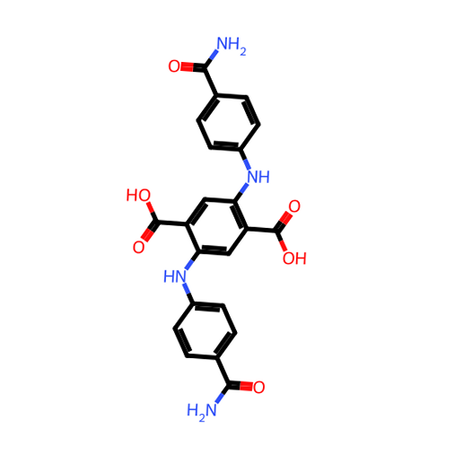 NC(=O)c1ccc(Nc2cc(C(=O)O)c(Nc3ccc(C(N)=O)cc3)cc2C(=O)O)cc1